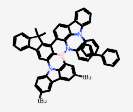 CC(C)(C)c1ccc2c(c1)c1cc(C(C)(C)C)cc3c1n2-c1cc2c(c4c1B3N(c1ccc(-c3ccccc3)cc1)c1c-4ccc3c4ccccc4n(-c4ccccc4)c13)C(C)(C)c1ccccc1-2